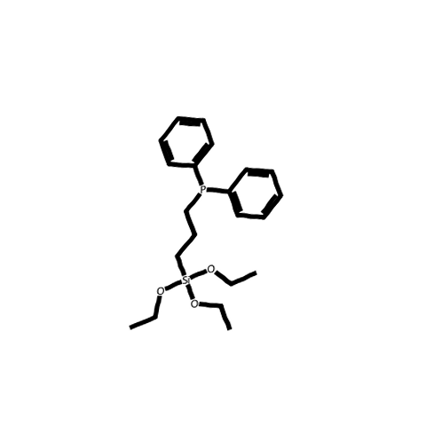 CCO[Si](CCCP(c1ccccc1)c1ccccc1)(OCC)OCC